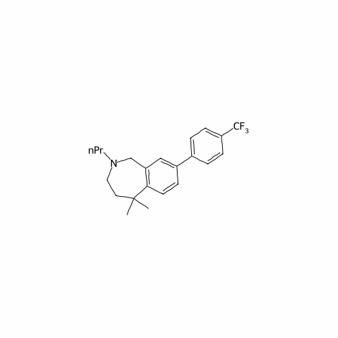 CCCN1CCC(C)(C)c2ccc(-c3ccc(C(F)(F)F)cc3)cc2C1